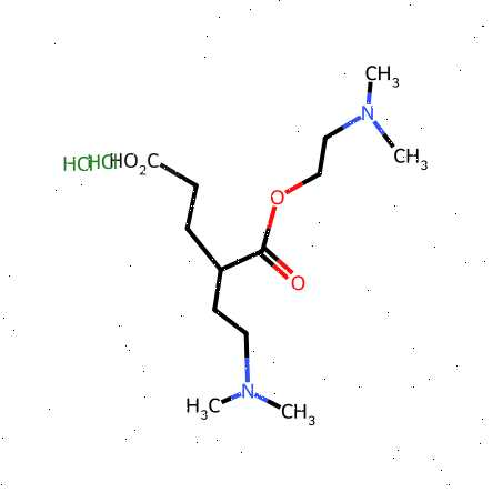 CN(C)CCOC(=O)C(CCC(=O)O)CCN(C)C.Cl.Cl